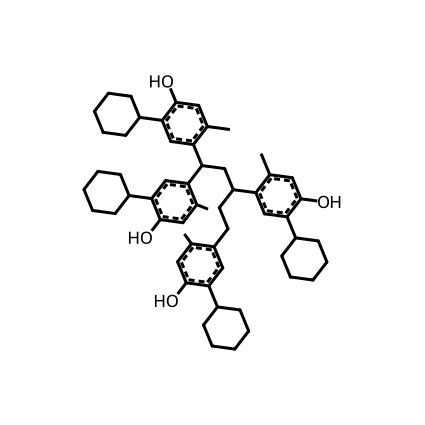 Cc1cc(O)c(C2CCCCC2)cc1CCC(CC(c1cc(C2CCCCC2)c(O)cc1C)c1cc(C2CCCCC2)c(O)cc1C)c1cc(C2CCCCC2)c(O)cc1C